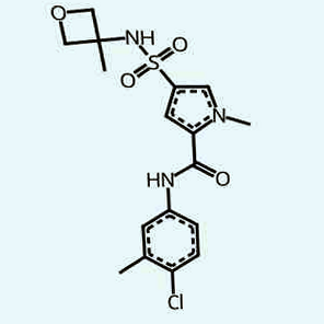 Cc1cc(NC(=O)c2cc(S(=O)(=O)NC3(C)COC3)cn2C)ccc1Cl